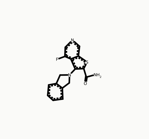 NC(=O)c1sc2cncc(F)c2c1N1Cc2ccccc2C1